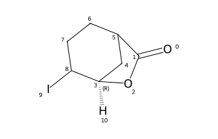 O=C1O[C@@H]2CC1CCC2I